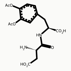 CC(=O)Oc1ccc(C[C@H](NC(=O)[C@@H](N)CC(=O)O)C(=O)O)cc1OC(C)=O